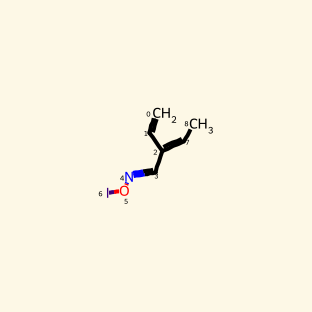 C=CC(/C=N/OI)=C\C